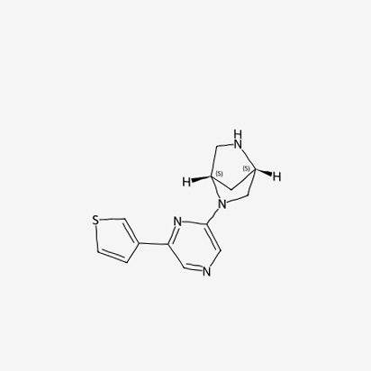 c1cc(-c2cncc(N3C[C@@H]4C[C@H]3CN4)n2)cs1